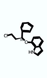 ClCC[C@H](Oc1cccc2cc[nH]c12)c1ccccc1